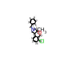 CC12CN(Cc3ccccc3)CC1c1cccc(Cl)c1CO2